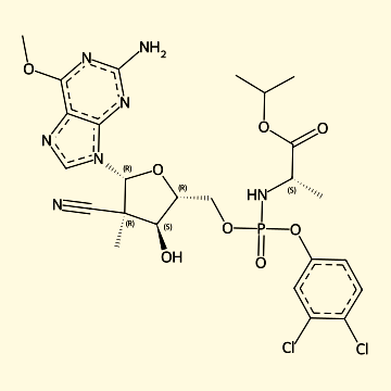 COc1nc(N)nc2c1ncn2[C@@H]1O[C@H](COP(=O)(N[C@@H](C)C(=O)OC(C)C)Oc2ccc(Cl)c(Cl)c2)[C@@H](O)[C@@]1(C)C#N